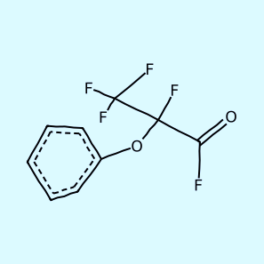 O=C(F)C(F)(Oc1ccccc1)C(F)(F)F